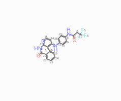 O=C(CC(F)(F)F)Nc1ccc(Nc2ccnc3[nH]c(=O)c4ccccc4c23)cc1